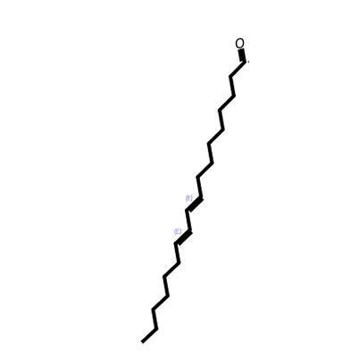 CCCCCC/C=C/C=C/CCCCCCC[C]=O